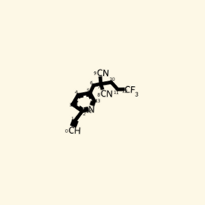 C#Cc1ccc(CC(C#N)(C#N)CCC(F)(F)F)cn1